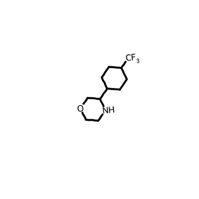 FC(F)(F)C1CCC(C2COCCN2)CC1